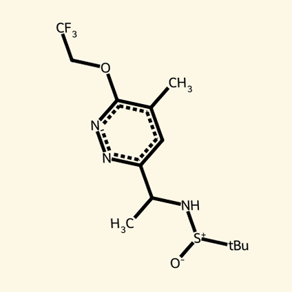 Cc1cc(C(C)N[S+]([O-])C(C)(C)C)nnc1OCC(F)(F)F